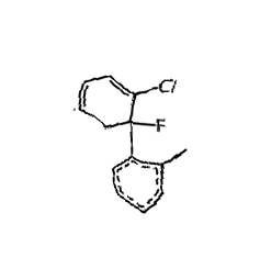 Cc1ccccc1C1(F)C[C]=CC=C1Cl